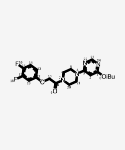 CC(C)COc1cc(N2CCN(C(=O)COc3ccc(F)c(F)c3)CC2)ncn1